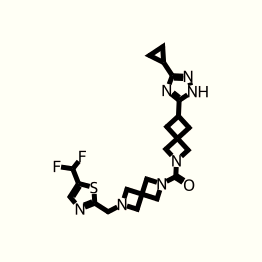 O=C(N1CC2(CC(c3nc(C4CC4)n[nH]3)C2)C1)N1CC2(CN(Cc3ncc(C(F)F)s3)C2)C1